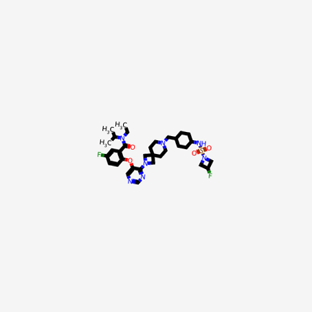 CCN(C(=O)c1cc(F)ccc1Oc1cncnc1N1CC2(CCN(CC3CCC(NS(=O)(=O)N4CC(F)C4)CC3)CC2)C1)C(C)C